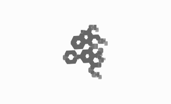 CCc1c(C)nc2ccccc2c1Nc1cc(N2CCOCC2)cc(C(=O)OC)c1[N+](=O)[O-]